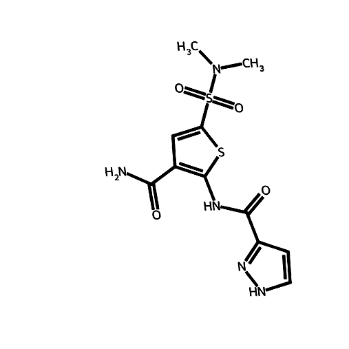 CN(C)S(=O)(=O)c1cc(C(N)=O)c(NC(=O)c2cc[nH]n2)s1